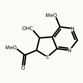 COC(=O)C1Sc2ncnc(OC)c2C1C=O